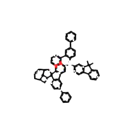 CC1(C)c2ccccc2-c2ccc(N(c3ccc4c(c3)-c3cc(-c5ccccc5)ccc3C43C4CC5CC6CC3C6(C5)C4)c3ccc(-c4ccccc4)cc3-c3ccccc3)cc21